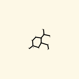 CCC1CC(C)CCC1C(C)C